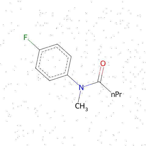 CCCC(=O)N(C)c1ccc(F)cc1